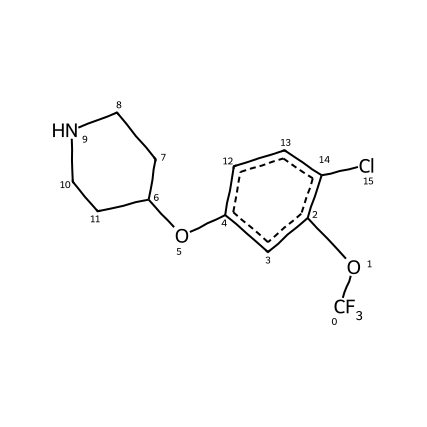 FC(F)(F)Oc1cc(OC2CCNCC2)ccc1Cl